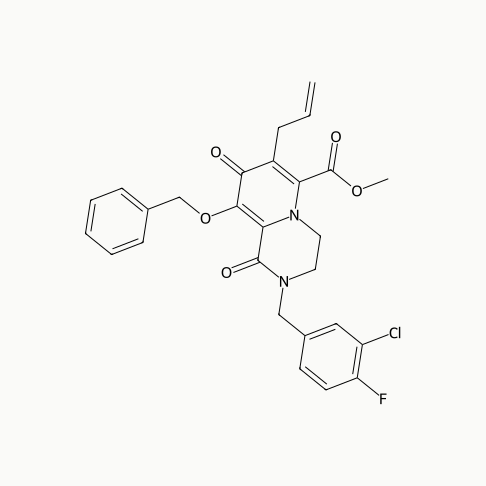 C=CCc1c(C(=O)OC)n2c(c(OCc3ccccc3)c1=O)C(=O)N(Cc1ccc(F)c(Cl)c1)CC2